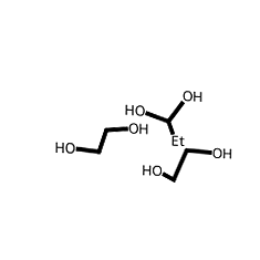 CCC(O)O.OCCO.OCCO